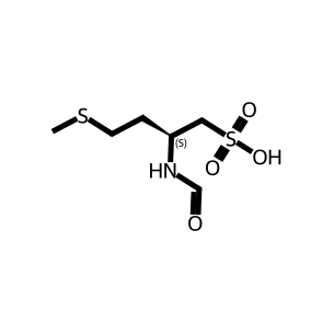 CSCC[C@@H](CS(=O)(=O)O)NC=O